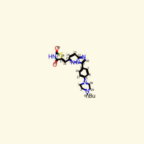 CCCCN1CCN(c2ccc(-c3cnc4ccc(/C=C5\SC(=O)NC5=O)nn34)cc2)CC1